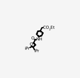 CCOC(=O)Cc1ccc(NC(=O)c2cc(C(C)C)c(C(C)C)o2)cc1